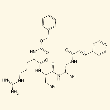 CC(C)CC(NC(=O)C(CCCNC(=N)N)NC(=O)OCc1ccccc1)C(=O)NC(CNC(=O)/C=C/c1ccncc1)C(C)C